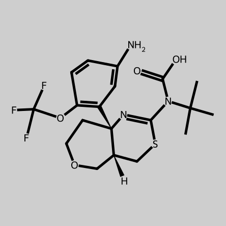 CC(C)(C)N(C(=O)O)C1=N[C@@]2(c3cc(N)ccc3OC(F)(F)F)CCOC[C@H]2CS1